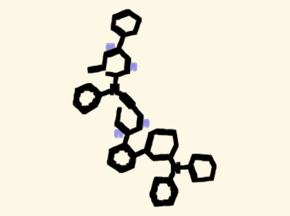 C=C/C=C(\C=C/C(C)N(C#C/C=C\C(=C/C)c1ccccc1C1=CC=CCC(N(C2=CCCC=C2)c2ccccc2)=C1)c1ccccc1)C1=CC=CCC1